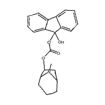 CN1C2CCCC1C(OC(=O)OC1(O)c3ccccc3-c3ccccc31)C2